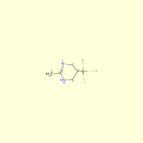 CC1=NCC(C(F)(F)F)CN1